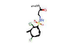 CNC(=O)CNS(=O)(=O)c1ccc(Cl)c(C)c1Cl